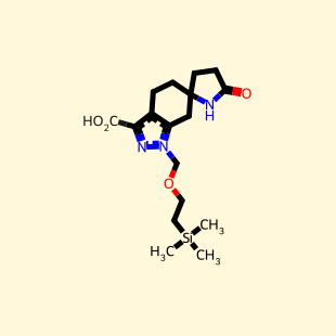 C[Si](C)(C)CCOCn1nc(C(=O)O)c2c1CC1(CCC(=O)N1)CC2